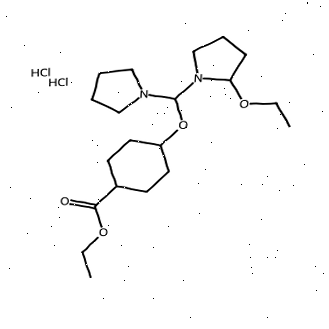 CCOC(=O)C1CCC(OC(N2CCCC2)N2CCCC2OCC)CC1.Cl.Cl